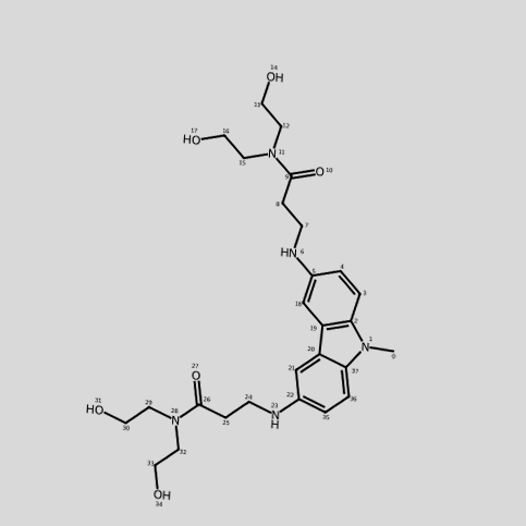 Cn1c2ccc(NCCC(=O)N(CCO)CCO)cc2c2cc(NCCC(=O)N(CCO)CCO)ccc21